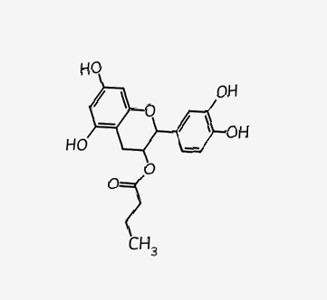 CCCC(=O)OC1Cc2c(O)cc(O)cc2OC1c1ccc(O)c(O)c1